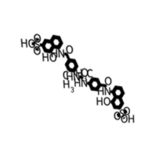 Cc1cc(C(=O)Nc2cccc3cc(S(=O)(=O)O)cc(O)c23)ccc1NC(=O)Nc1ccc(C(=O)Nc2cccc3cc(S(=O)(=O)O)cc(O)c23)cc1C